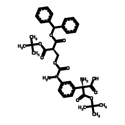 CC(C)(C)OC(=O)[C@H](COC(=O)N(N)c1cccc([C@@](N)(C(=O)O)C(=O)OC(C)(C)C)c1)C(=O)OC(c1ccccc1)c1ccccc1